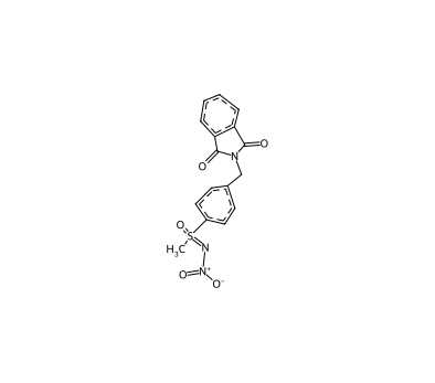 CS(=O)(=N[N+](=O)[O-])c1ccc(CN2C(=O)c3ccccc3C2=O)cc1